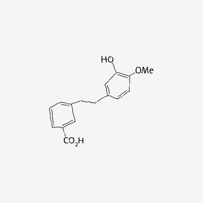 COc1ccc(CCc2cccc(C(=O)O)c2)cc1O